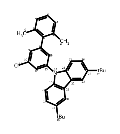 Cc1cccc(C)c1-c1cc(Cl)cc(-n2c3ccc(C(C)(C)C)cc3c3cc(C(C)(C)C)ccc32)c1